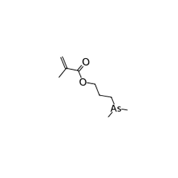 C=C(C)C(=O)OCCC[As](C)C